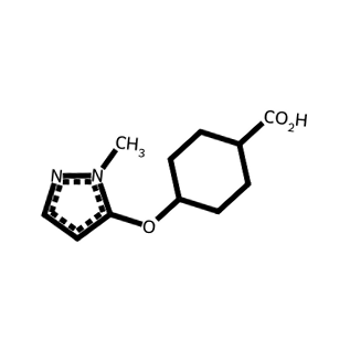 Cn1nccc1OC1CCC(C(=O)O)CC1